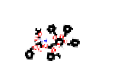 CCc1ccccc1OC(COC(=O)[C@@H](NC(=O)OC(C)(C)C)[C@@H](C)OCc1ccccc1)C[C@@H]1O[C@@H](C)[C@@H](OCc2ccccc2)[C@@H](OCc2ccccc2)[C@@H]1OCc1ccccc1